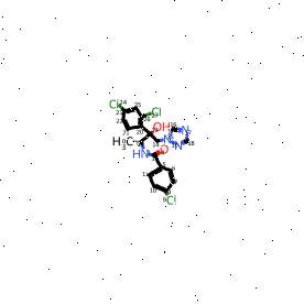 C[C@@H](NC(=O)c1ccc(Cl)cc1)C(O)(Cn1cncn1)c1ccc(Cl)cc1Cl